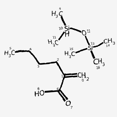 C=C(CCCC)C(=O)O.C[SiH](C)O[Si](C)(C)C